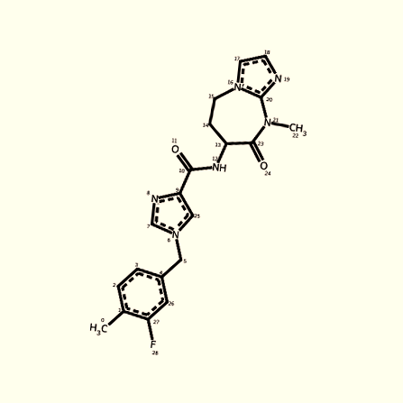 Cc1ccc(Cn2cnc(C(=O)NC3CCn4ccnc4N(C)C3=O)c2)cc1F